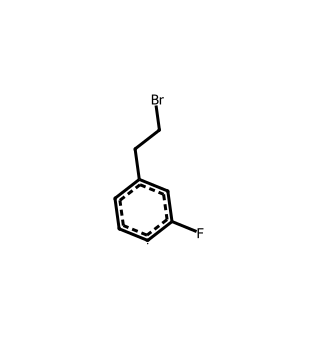 Fc1[c]ccc(CCBr)c1